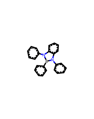 c1ccc(B2N(c3ccccc3)c3ccccc3N2c2ccccc2)cc1